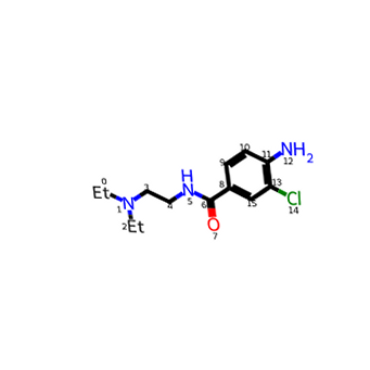 CCN(CC)CCNC(=O)c1ccc(N)c(Cl)c1